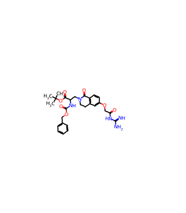 CC(C)(C)OC(=O)C(CN1CCc2cc(OCC(=O)NC(=N)N)ccc2C1=O)NC(=O)OCc1ccccc1